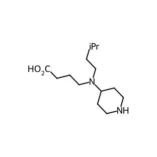 CC(C)CCN(CCCC(=O)O)C1CCNCC1